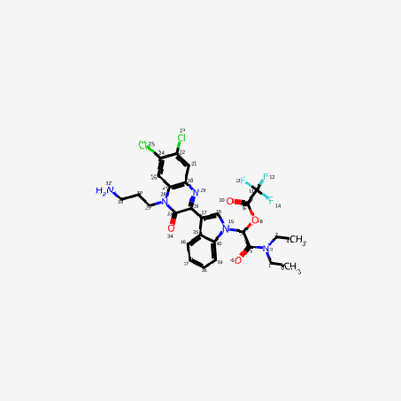 CCN(CC)C(=O)C(OC(=O)C(F)(F)F)n1cc(-c2nc3cc(Cl)c(Cl)cc3n(CCCN)c2=O)c2ccccc21